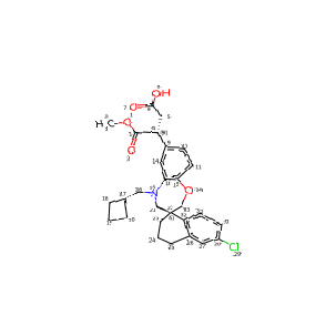 COC(=O)[C@H](CC(=O)O)c1ccc2c(c1)N(CC1CCC1)C[C@@]1(CCCc3cc(Cl)ccc31)CO2